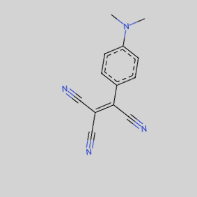 CN(C)c1ccc(C(C#N)=C(C#N)C#N)cc1